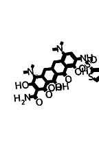 CN(C)c1cc(NS(=O)(=O)c2cccs2)c(O)c2c1CC1CC3[C@H](N(C)C)C(O)=C(C(N)=O)C(=O)C3(O)C(O)=C1C2=O